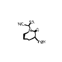 CCCC1CCCN(C(C#N)CC)C1=O